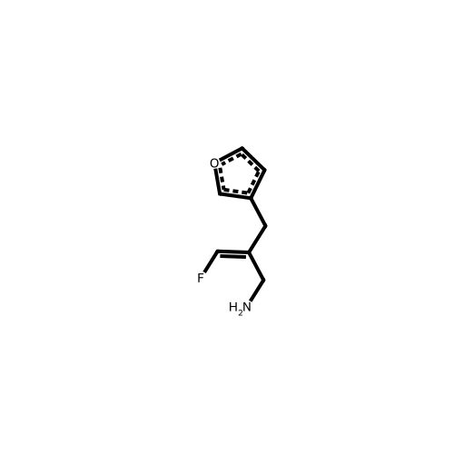 NCC(=CF)Cc1ccoc1